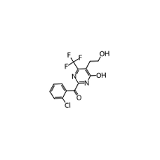 O=C(c1nc(O)c(CCO)c(C(F)(F)F)n1)c1ccccc1Cl